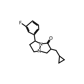 O=C1C(CC2CC2)CN2CCC(c3cccc(F)c3)N12